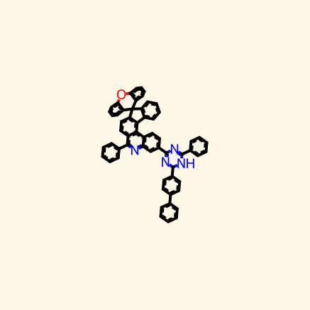 c1ccc(C2=NC(c3ccc4c(c3)nc(-c3ccccc3)c3ccc5c(c34)-c3ccccc3C53c4ccccc4Oc4ccccc43)=NC(c3ccc(-c4ccccc4)cc3)N2)cc1